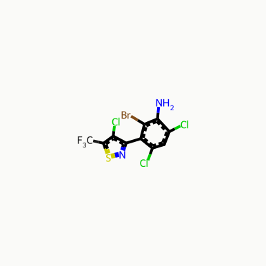 Nc1c(Cl)cc(Cl)c(-c2nsc(C(F)(F)F)c2Cl)c1Br